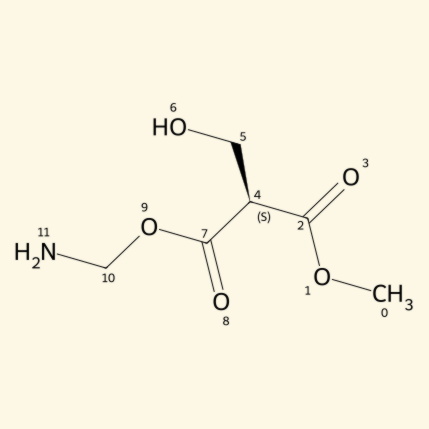 COC(=O)[C@H](CO)C(=O)OCN